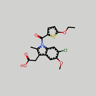 CCOc1ccc(C(=O)n2c(C)c(CC(=O)O)c3cc(OC)c(Cl)cc32)s1